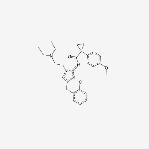 CCN(CC)CCn1cc(Cc2ccccc2Cl)s/c1=N/C(=O)C1(c2ccc(OC)cc2)CC1